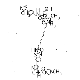 Cc1ncc(-c2ccc3nc(NC(=O)CCCCCCCCCCC(=O)N[C@H](C(=O)N4C[C@H](O)C[C@H]4C(=O)NCc4ccc(-c5scnc5C)cc4)C(C)(C)C)sc3c2)cc1NC(=O)OC1CCN(C)CC1